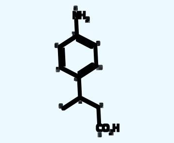 CC(CC(=O)O)c1ccc(N)cc1